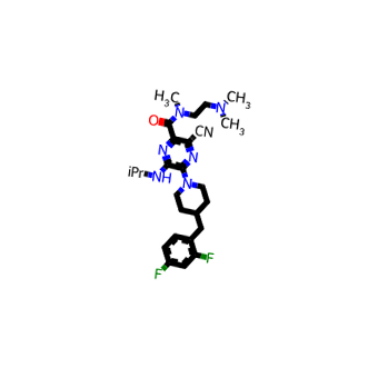 CC(C)Nc1nc(C(=O)N(C)CCN(C)C)c(C#N)nc1N1CCC(Cc2ccc(F)cc2F)CC1